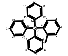 Cc1ccccc1[Si](c1ccccc1)(c1ccccc1)c1ccccc1